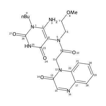 CCCCn1c(N)c(N(CCOC)C(=O)Cn2c(=O)cnc3ccccc32)c(=O)[nH]c1=O